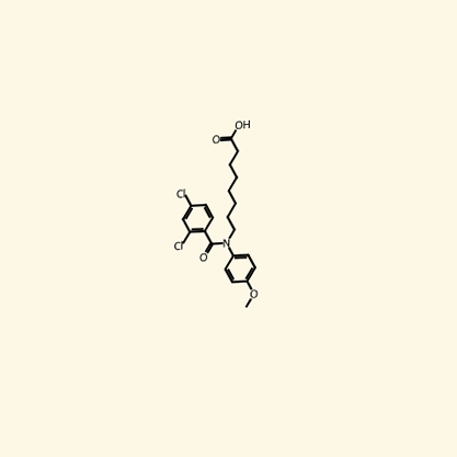 COc1ccc(N(CCCCCCCC(=O)O)C(=O)c2ccc(Cl)cc2Cl)cc1